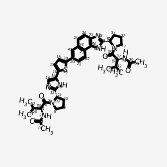 CC(=O)N[C@H](C(=O)N1CCC[C@H]1c1ncc(-c2ccc(-c3ccc4c(ccc5nc([C@@H]6CCCN6C(=O)[C@@H](NC(C)=O)C(C)C)[nH]c54)c3)s2)[nH]1)C(C)C